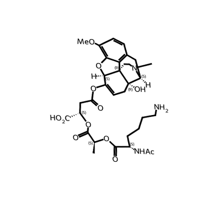 COc1ccc2c3c1O[C@@H]1C(OC(=O)C[C@H](OC(=O)[C@H](C)OC(=O)[C@H](CCCCN)NC(C)=O)C(=O)O)=CC[C@]4(O)[C@H](C2)N(C)CC[C@@]314